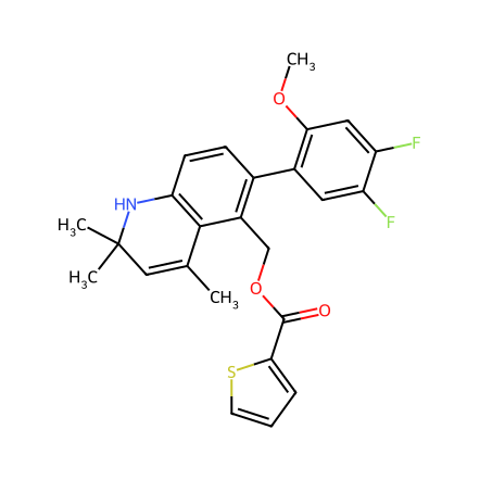 COc1cc(F)c(F)cc1-c1ccc2c(c1COC(=O)c1cccs1)C(C)=CC(C)(C)N2